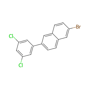 Clc1cc(Cl)cc(-c2ccc3cc(Br)ccc3c2)c1